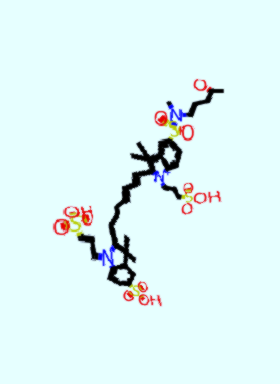 CC(=O)CCCN(C)S(=O)(=O)c1ccc2c(c1)C(C)(C)C(/C=C/C=C/C=C/C=C1/N(CCCS(=O)(=O)O)c3ccc(S(=O)(=O)O)cc3C1(C)C)=[N+]2CCCS(=O)(=O)O